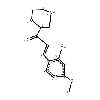 COc1ccc(C=CC(=O)C2CNCCO2)c(O)c1